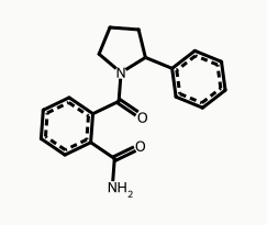 NC(=O)c1ccccc1C(=O)N1CCCC1c1ccccc1